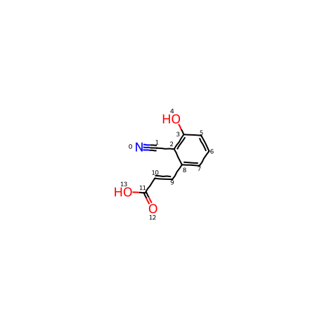 N#Cc1c(O)cccc1/C=C/C(=O)O